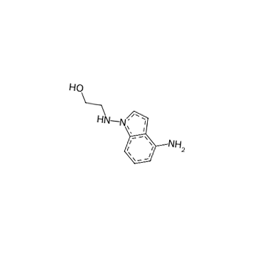 Nc1cccc2c1ccn2NCCO